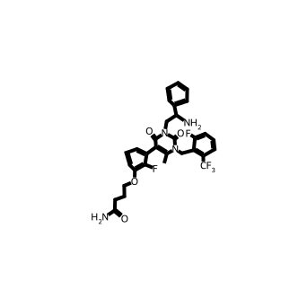 Cc1c(-c2cccc(OCCCC(N)=O)c2F)c(=O)n(CC(N)c2ccccc2)c(=O)n1Cc1c(F)cccc1C(F)(F)F